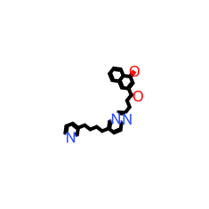 O=C(CCc1cn2cc(CCCCc3cccnc3)ccc2n1)C1=CC(=O)C2C=CC=CC2=C1